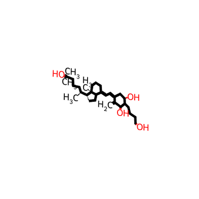 C=C1/C(=C\C=C2CCC[C@@]3(C)C2CC[C@@H]3[C@H](C)CCCC(C)(C)O)C[C@@H](O)C(CCCCO)C1O